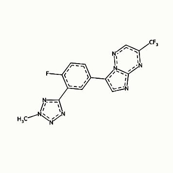 Cn1nnc(-c2cc(-c3cnc4nc(C(F)(F)F)cnn34)ccc2F)n1